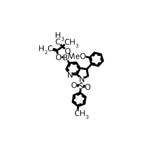 C=C1OB(c2cnc3c(c2)C(c2ccccc2OC)CN3S(=O)(=O)c2ccc(C)cc2)OC1(C)C